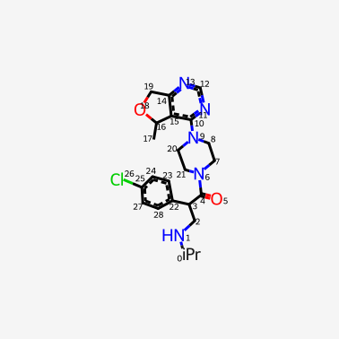 CC(C)NCC(C(=O)N1CCN(c2ncnc3c2C(C)OC3)CC1)c1ccc(Cl)cc1